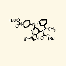 CC(C)c1cnc2c(N(C(=O)OC(C)(C)C)[C@@H](C)c3ccccc3)cc(NC3CCN(C(=O)OC(C)(C)C)CC3)nn12